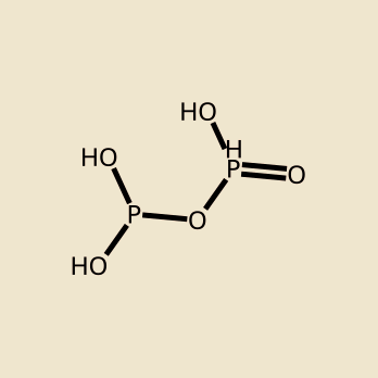 O=[PH](O)OP(O)O